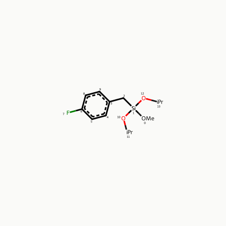 CO[Si](Cc1ccc(F)cc1)(OC(C)C)OC(C)C